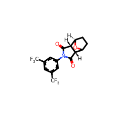 O=C1[C@@H]2[C@H]3CCC(O3)[C@@H]2C(=O)N1c1cc(C(F)(F)F)cc(C(F)(F)F)c1